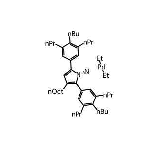 CCCCCCCCC1=C(c2cc(CCC)c(CCCC)c(CCC)c2)[N+](=[N-])C(c2cc(CCC)c(CCCC)c(CCC)c2)=C1.C[CH2][Pd][CH2]C